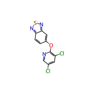 Clc1cnc(Oc2ccc3nsnc3c2)c(Cl)c1